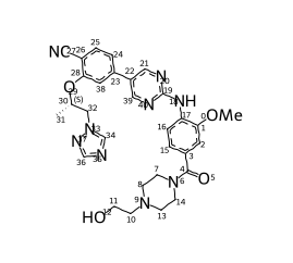 COc1cc(C(=O)N2CCN(CCO)CC2)ccc1Nc1ncc(-c2ccc(C#N)c(O[C@@H](C)Cn3cncn3)c2)cn1